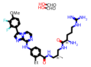 CCc1cc(Nc2nccn3c(-c4ccc(OC)c(F)c4F)cnc23)ccc1C(=O)NC[C@@H](C)CNC(=O)[C@H](N)CCCNC(=N)N.O=CO.O=CO